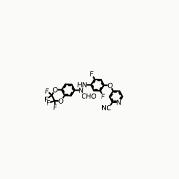 N#Cc1cc(Oc2cc(F)c(NN(C=O)c3ccc4c(c3)OC(F)(F)C(F)(F)O4)cc2F)ccn1